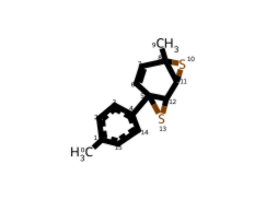 Cc1ccc(C23C=CC4(C)SC4C2S3)cc1